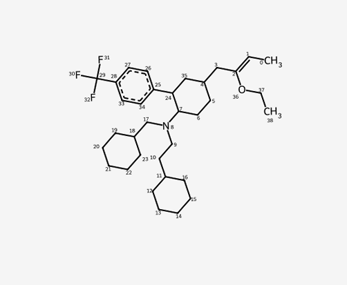 C/C=C(/CC1CCC(N(CCC2CCCCC2)CC2CCCCC2)C(c2ccc(C(F)(F)F)cc2)C1)OCC